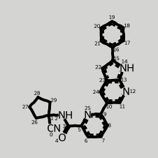 N#CC1(NC(=O)c2cccc(-c3cnc4[nH]c(-c5ccccc5)cc4c3)n2)CCCC1